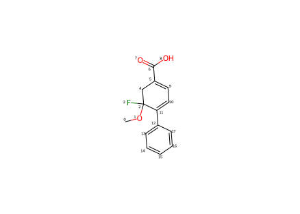 COC1(F)CC(C(=O)O)=CC=C1c1ccccc1